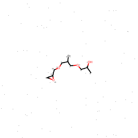 CCC(COCC(C)O)COCC1CO1